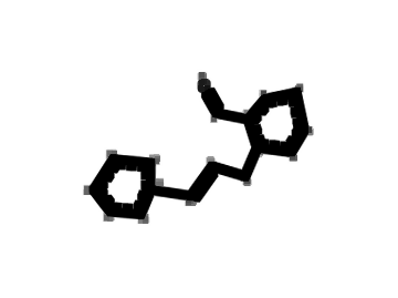 O=Cc1ccccc1CC=Cc1ccccc1